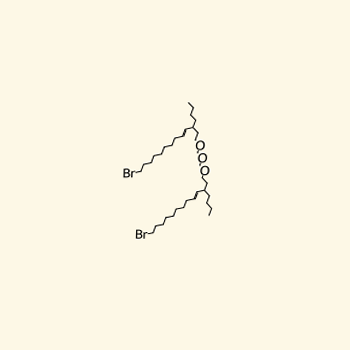 CCCCC(C=CCCCCCCCCBr)CCOCOCOCCC(C=CCCCCCCCCBr)CCCC